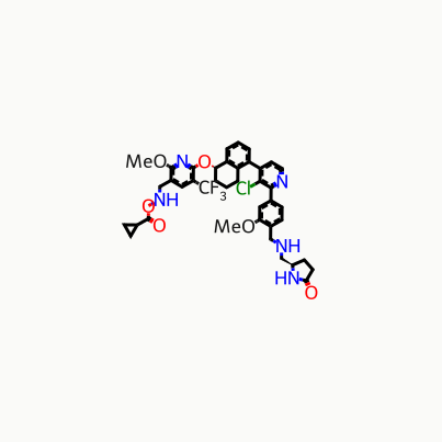 COc1cc(-c2nccc(-c3cccc4c3CCC[C@@H]4Oc3nc(OC)c(CNOC(=O)C4CC4)cc3C(F)(F)F)c2Cl)ccc1CNC[C@H]1CCC(=O)N1